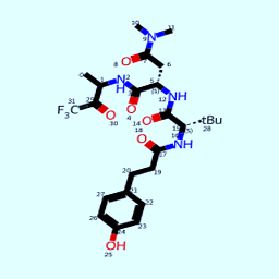 CC(NC(=O)[C@H](CC(=O)N(C)C)NC(=O)[C@@H](NC(=O)CCc1ccc(O)cc1)C(C)(C)C)C(=O)C(F)(F)F